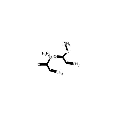 C=CC(=O)ON.C=CC(=O)ON